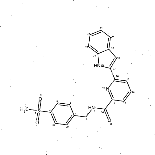 CS(=O)(=O)c1ccc(CNC(=O)c2cccc(-c3cc4ccccc4[nH]3)n2)cc1